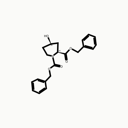 O=C(OCc1ccccc1)[C@@H]1C[C@H](O)CCN1C(=O)OCc1ccccc1